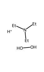 CCN(CC)CC.OO.[H+]